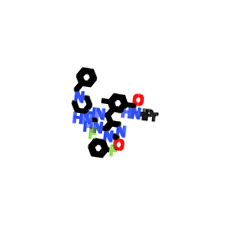 Cc1ccc(C(=O)NC(C)C)cc1C1NC(NC2CCN(Cc3ccccc3)CC2)Nc2c1cnc(=O)n2-c1c(F)cccc1F